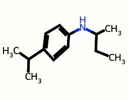 CCC(C)Nc1ccc(C(C)C)cc1